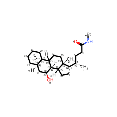 CCNC(=O)CC[C@H](C)[C@@H]1CC[C@@H]2[C@@H]3[C@@H](CC[C@]21C)[C@]1(C)CCCC[C@@H]1C[C@@H]3O